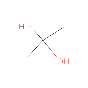 CC(C)(O)P